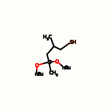 CCCCO[Si](C)(CC(C)CS)OCCCC